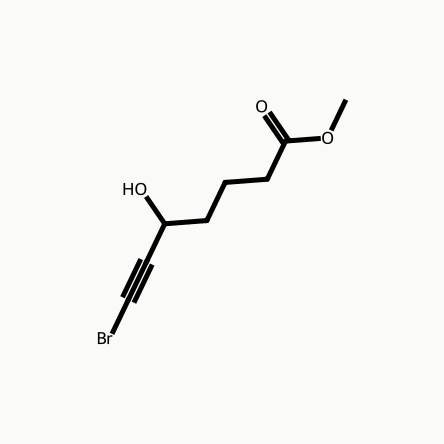 COC(=O)CCCC(O)C#CBr